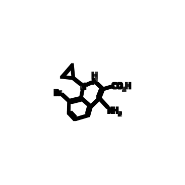 NC1=C(C(=O)O)NN(C2CC2)c2c(Br)cccc21